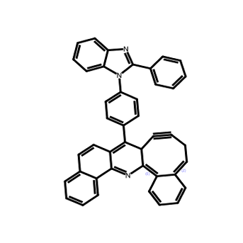 C1#CC2C(c3ccc(-n4c(-c5ccccc5)nc5ccccc54)cc3)=c3ccc4ccccc4c3=N/C2=c2\cccc\c2=C\C1